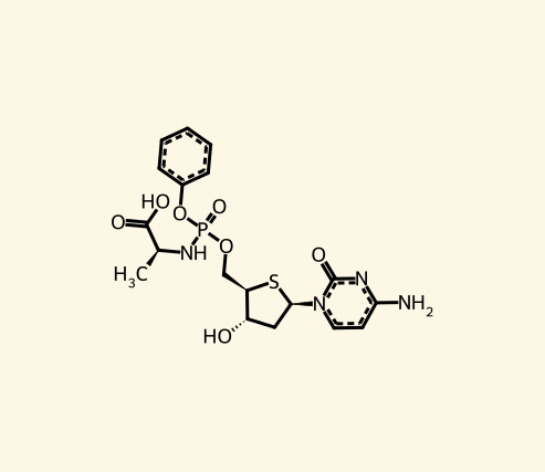 C[C@H](NP(=O)(OC[C@H]1S[C@@H](n2ccc(N)nc2=O)C[C@@H]1O)Oc1ccccc1)C(=O)O